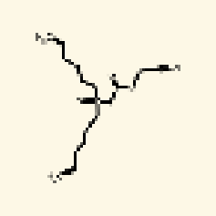 C#CCOC(=O)CP(=O)(CCCCC=C)CCCCC=C